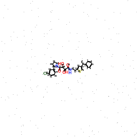 CC(c1ccccc1)c1csc(CCNC(=O)[C@H](O)[C@@H](O)C(=O)N2CCC[C@@H]2c2cccc(Cl)c2)c1